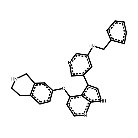 c1ccc(CNc2cncc(-c3c[nH]c4nccc(Oc5ccc6c(c5)CNCC6)c34)c2)cc1